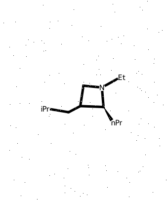 CCC[C@H]1C(CC(C)C)CN1CC